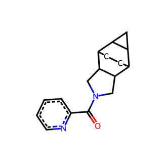 O=C(c1ccccn1)N1CC2C3CCC(C4CC34)C2C1